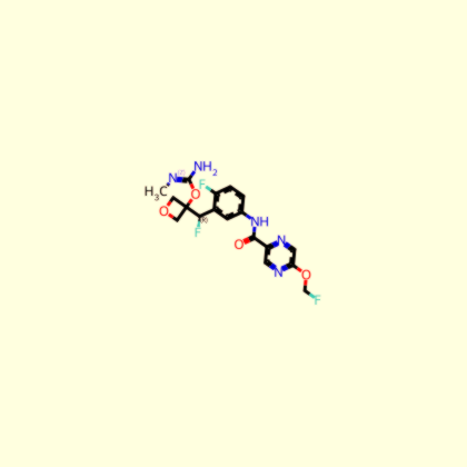 C/N=C(/N)OC1([C@H](F)c2cc(NC(=O)c3cnc(OCF)cn3)ccc2F)COC1